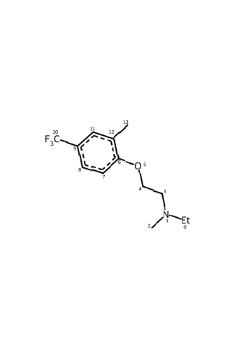 CCN(C)CCOc1ccc(C(F)(F)F)cc1C